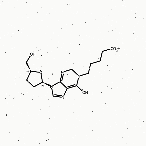 O=C(O)CCCCN1CN=c2c(ncn2[C@H]2CC[C@@H](CO)O2)=C1O